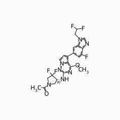 COc1nc(N[C@@H]2CN(C(C)=O)CC2(F)F)nn2ccc(-c3cc(F)c4ncn(CC(F)F)c4c3)c12